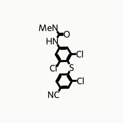 CNC(=O)Nc1cc(Cl)c(Sc2ccc(C#N)cc2Cl)c(Cl)c1